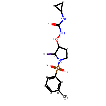 O=C(NOC1CCN(S(=O)(=O)c2cccc(C(F)(F)F)c2)C1I)NC1CC1